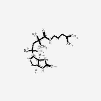 CC(C)CCCNC(=O)C(C)(C)CC(C)(C)[C@@H]1SC[C@@H]2NC(=O)N[C@@H]21